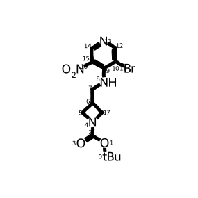 CC(C)(C)OC(=O)N1CC(CNc2c(Br)cncc2[N+](=O)[O-])C1